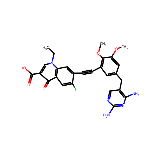 CCn1cc(C(=O)O)c(=O)c2cc(F)c(C#Cc3cc(Cc4cnc(N)nc4N)cc(OC)c3OC)cc21